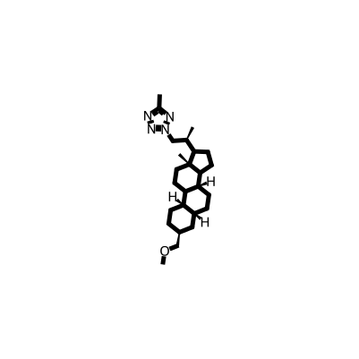 COC[C@H]1CC[C@@H]2C3CC[C@@]4(C)C(CCC4[C@H](C)Cn4nnc(C)n4)[C@@H]3CC[C@@H]2C1